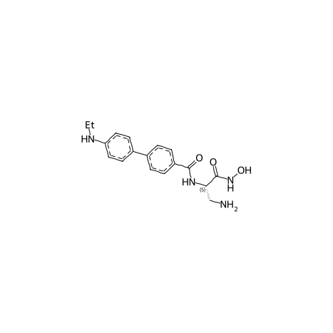 CCNc1ccc(-c2ccc(C(=O)N[C@@H](CN)C(=O)NO)cc2)cc1